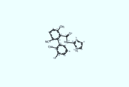 N#Cc1ccc(O)c(C(=O)Nc2ncc[nH]2)c1-c1cccc(F)c1Cl